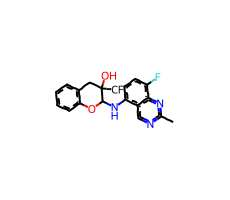 Cc1ncc2c(NC3Oc4ccccc4CC3(O)C(F)(F)F)ccc(F)c2n1